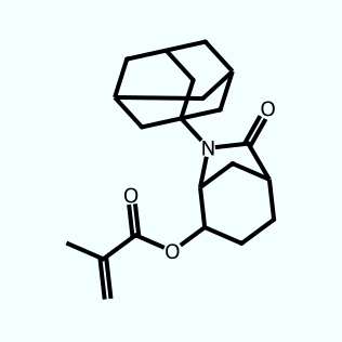 C=C(C)C(=O)OC1CCC2CC1N(C13CC4CC(CC(C4)C1)C3)C2=O